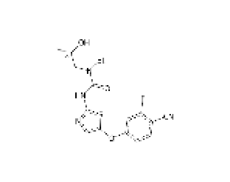 CCN(C[C@H](C)O)C(=O)Nc1ncc(Oc2ccc(C#N)c(F)c2)s1